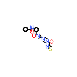 O=C(c1cscn1)N1CCN(C2CN(C(=O)c3cccc4nc(-c5ccccc5)oc34)C2)CC1